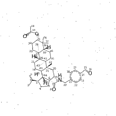 C=C(C)[C@@H]1CC[C@]2(C(=O)NCc3ccc(C=O)cc3)CC[C@]3(C)[C@H](CC[C@@H]4[C@@]5(C)CC[C@H](OC(C)=O)C(C)(C)[C@@H]5CC[C@]43C)[C@@H]12